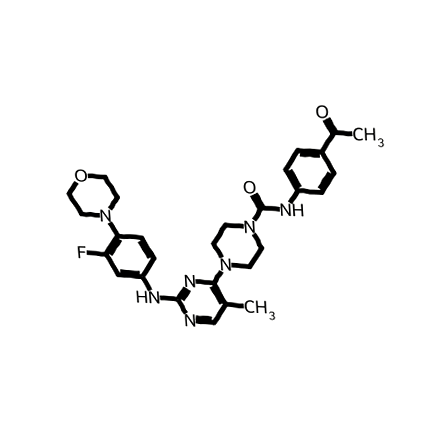 CC(=O)c1ccc(NC(=O)N2CCN(c3nc(Nc4ccc(N5CCOCC5)c(F)c4)ncc3C)CC2)cc1